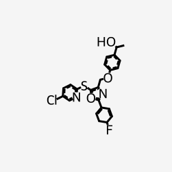 CC(O)c1ccc(OCc2nc(C3=CCC(F)C=C3)oc2Sc2ccc(Cl)cn2)cc1